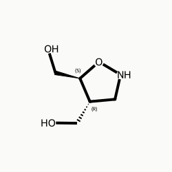 OC[C@H]1CNO[C@@H]1CO